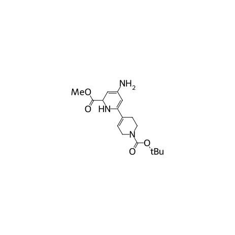 COC(=O)C1C=C(N)C=C(C2=CCN(C(=O)OC(C)(C)C)CC2)N1